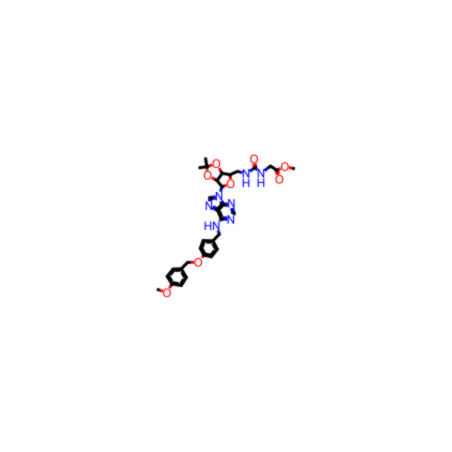 COC(=O)CNC(=O)NCC1OC(n2cnc3c(NCc4ccc(OCc5ccc(OC)cc5)cc4)ncnc32)C2OC(C)(C)OC12